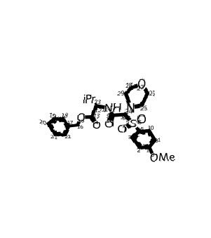 COc1ccc(S(=O)(=O)C(C(=O)N[C@@H](C(=O)OCc2ccccc2)C(C)C)N2CCOCC2)cc1